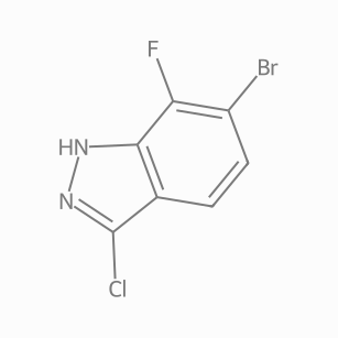 Fc1c(Br)ccc2c(Cl)n[nH]c12